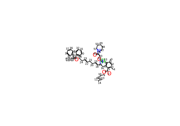 Cc1cc(C)c(C(=O)OCC[Si](C)(C)C)c(CC(/C=C/CC/C=C/CCO[Si](c2ccccc2)(c2ccccc2)C(C)(C)C)=NOCC(=O)N2CCCCC2)c1Cl